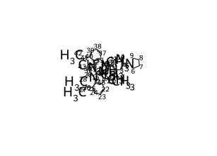 CSc1cc(N2CCCC2)ncc1/N=N/C1=[N+](c2c(C(C)C)cccc2C(C)C)CCN1c1c(C(C)C)cccc1C(C)C